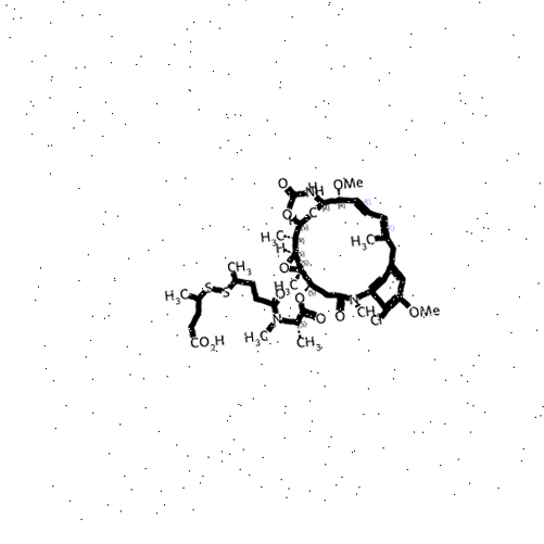 COc1cc2cc(c1Cl)N(C)C(=O)C[C@H](OC(=O)[C@H](C)N(C)C(=O)CCC(C)SSC(C)CCC(=O)O)[C@]1(C)O[C@H]1[C@H](C)[C@@H]1C[C@@H](NC(=O)O1)[C@H](OC)/C=C/C=C(\C)C2